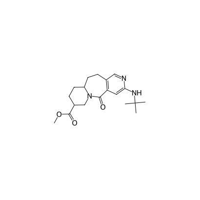 COC(=O)C1CCC2CCc3cnc(NC(C)(C)C)cc3C(=O)N2C1